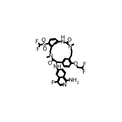 CN1CCc2cc(ccc2OCC(F)F)[C@@H](Nc2ccc3c(N)ncc(F)c3c2)C(=O)N(C)Cc2cc(ccc2S(=O)(=O)C(F)F)NC1=O